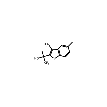 Cc1ccc2sc(C(C)(O)C(F)(F)F)c(N)c2c1